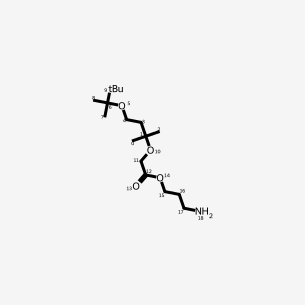 CC(C)(CCOC(C)(C)C(C)(C)C)OCC(=O)OCCCN